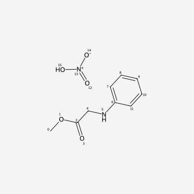 COC(=O)CNc1ccccc1.O=[N+]([O-])O